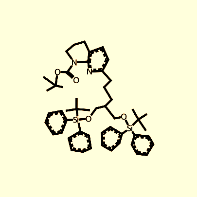 CC(C)(C)OC(=O)N1CCCc2ccc(CCCC(CO[Si](c3ccccc3)(c3ccccc3)C(C)(C)C)CO[Si](c3ccccc3)(c3ccccc3)C(C)(C)C)nc21